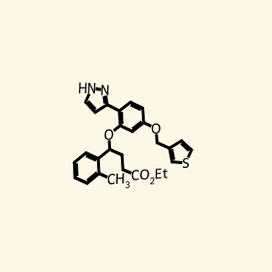 CCOC(=O)CCC(Oc1cc(OCc2ccsc2)ccc1-c1cc[nH]n1)c1ccccc1C